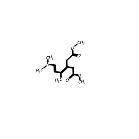 COC(=O)CC(CC(=O)OC)=C(C)/C=C/N(C)C